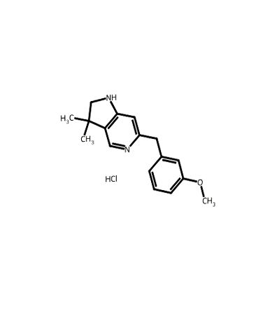 COc1cccc(Cc2cc3c(cn2)C(C)(C)CN3)c1.Cl